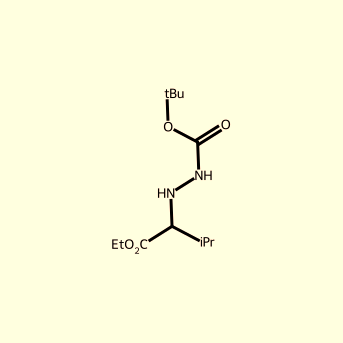 CCOC(=O)C(NNC(=O)OC(C)(C)C)C(C)C